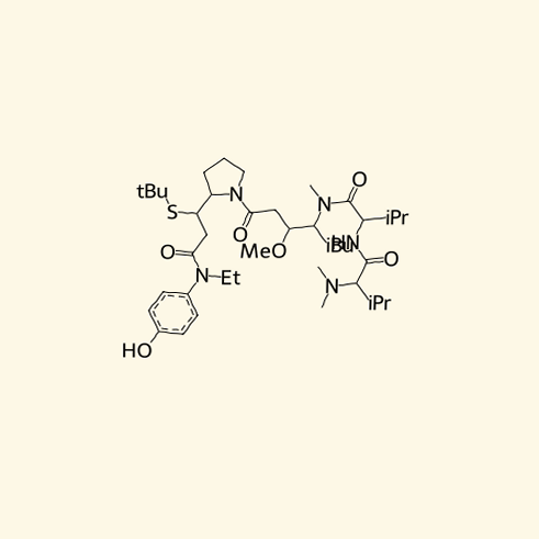 CCC(C)C(C(CC(=O)N1CCCC1C(CC(=O)N(CC)c1ccc(O)cc1)SC(C)(C)C)OC)N(C)C(=O)C(NC(=O)C(C(C)C)N(C)C)C(C)C